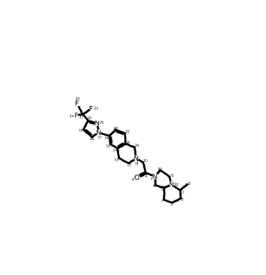 CC1CCCC2CN(C(=O)CN3CCc4cc(-n5ccc(C(F)(F)F)n5)ccc4C3)CCN12